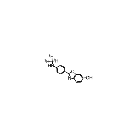 [3H]C([3H])([3H])Nc1ccc(-c2nc3ccc(O)cc3o2)cc1